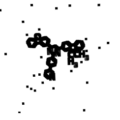 CC1(C)c2ccccc2-c2ccc(-c3cc(-c4ccc5oc6ccccc6c5c4)nc(-c4ccc(-c5cccnc5)cc4)n3)cc21